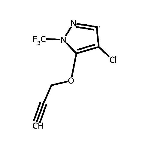 C#CCOc1c(Cl)[c]nn1C(F)(F)F